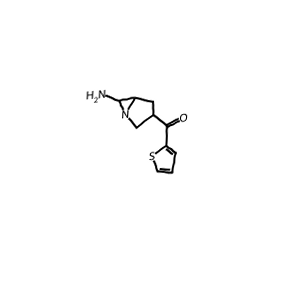 NC1C2CC(C(=O)c3cccs3)CN12